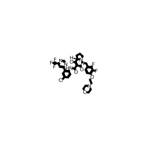 C[C@@]12CCCN1N(Cc1ccc(OCCN3CCOCC3)c(F)c1F)C(=O)C(C(=O)Nc1ccc(Cl)cc1-c1cc(C(F)(F)F)ncn1)=C2O